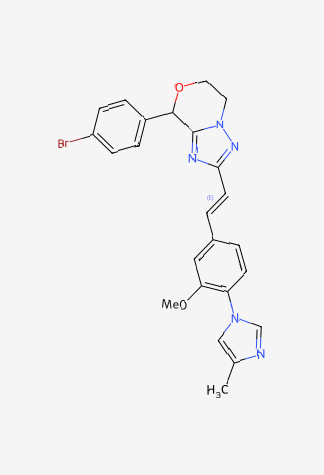 COc1cc(/C=C/c2nc3n(n2)CCOC3c2ccc(Br)cc2)ccc1-n1cnc(C)c1